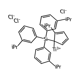 CC(C)C1=CC=C[C]1([Ti+3])[Si](c1cccc(C(C)C)c1)(c1cccc(C(C)C)c1)c1cccc(C(C)C)c1.[Cl-].[Cl-].[Cl-]